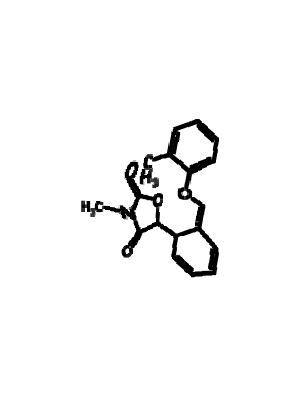 Cc1ccccc1O/C=C1/C=CC=CC1C1OC(=O)N(C)C1=O